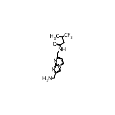 CC(CC(=O)NCc1ccn2cc(CN)nc2n1)C(F)(F)F